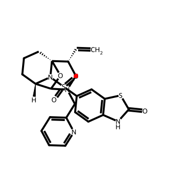 C=C[C@@H]1CN(Cc2ccccn2)C2O[C@]13CCC[C@@H]2N3S(=O)(=O)c1ccc2[nH]c(=O)sc2c1